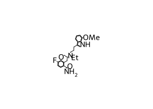 CCN(CCCc1c[nH]c2c(OC)cccc12)C1COc2c(F)ccc(C(N)=O)c2C1